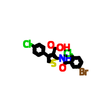 O=C(Nc1scc(-c2ccc(Cl)cc2)c1C(=O)O)c1cc(Br)ccc1Cl